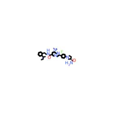 C/C=C(/C)c1ccccc1CCNC(=O)c1cc(N(C)C)c2nc(-c3ccc(N4CC[C@H](C(N)=O)C4)cc3F)cn2c1